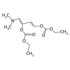 CCOC(=O)OC=CC(=CN(C)C)OC(=O)OCC